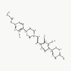 CCOCc1ccc(C2CCC(CCc3ccc(C4=CCC(C)CC4)c(F)c3F)CC2)c(F)c1